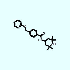 CC1(C)CC(NC(=O)c2ccc(COc3ccccn3)cc2)CC(C)(C)N1